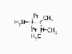 CC(C)C([SiH3])(C(C)C)C(C)N(C)C